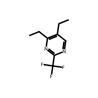 CCc1[c]nc(C(F)(F)F)nc1CC